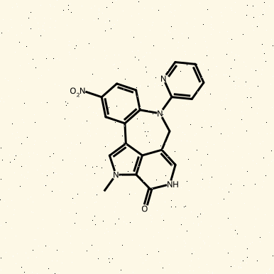 Cn1cc2c3c(c[nH]c(=O)c31)CN(c1ccccn1)c1ccc([N+](=O)[O-])cc1-2